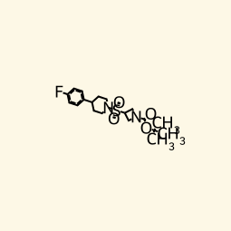 CC(C)(C)OC(=O)N1CC(S(=O)(=O)N2CCC(c3ccc(F)cc3)CC2)C1